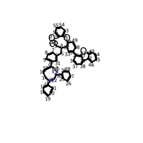 O=S1(=O)CC(Cc2cccc(C3=C=CC/C(c4ccccc4)=C\C(c4ccccc4)=N/3)c2)c2cc(-c3cccc4c3oc3ccccc34)ccc2Oc2ccccc21